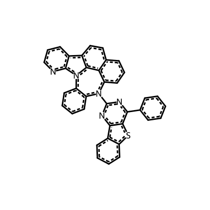 c1ccc(-c2nc(-n3c4cccc5ccc6c7cccnc7n(c7ccccc73)c6c54)nc3c2sc2ccccc23)cc1